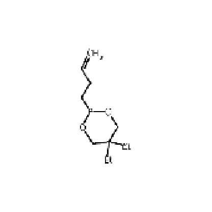 C=CCCP1OCC(CC)(CC)CO1